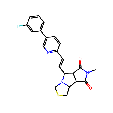 CN1C(=O)C2C(C1=O)C1CSCN1C2/C=C/c1ccc(-c2cccc(F)c2)cn1